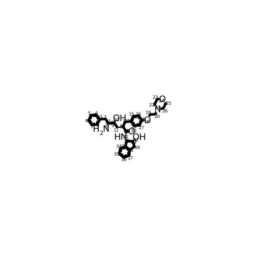 N[C@@H](Cc1ccccc1)[C@@H](O)C[C@@H](Cc1ccc(OCCN2CCOCC2)cc1)C(=O)N[C@H]1c2ccccc2C[C@H]1O